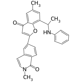 Cc1cc(C(C)Nc2ccccc2)c2oc(-c3ccc4c(=O)n(C)ccc4c3)cc(=O)c2c1